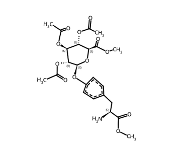 COC(=O)[C@H]1O[C@@H](Oc2ccc(C[C@H](N)C(=O)OC)cc2)[C@H](OC(C)=O)[C@@H](OC(C)=O)[C@@H]1OC(C)=O